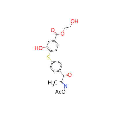 CC(=O)O/N=C(\C)C(=O)c1ccc(Sc2ccc(C(=O)OCCO)cc2O)cc1